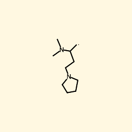 [CH2]C(CCN1CCCC1)N(C)C